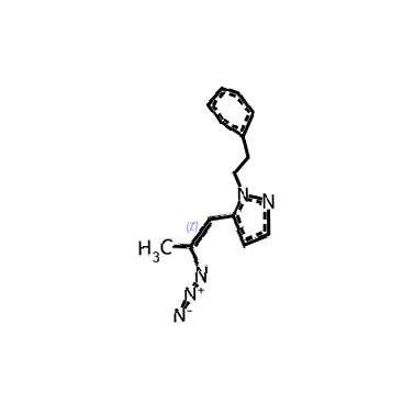 C/C(=C/c1ccnn1CCc1ccccc1)N=[N+]=[N-]